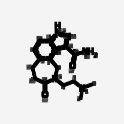 CN(C)CCN1Cc2c(ccc3[nH]nc(C(N)=O)c23)C[CH]C1=O